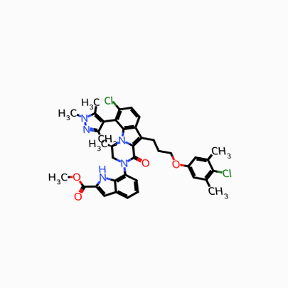 COC(=O)c1cc2cccc(N3C[C@@H](C)n4c(c(CCCOc5cc(C)c(Cl)c(C)c5)c5ccc(Cl)c(-c6c(C)nn(C)c6C)c54)C3=O)c2[nH]1